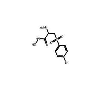 CC(=O)NC(CS(=O)(=O)c1ccc(Br)cc1)C(=O)NO